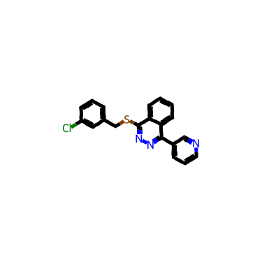 Clc1cccc(CSc2nnc(-c3cccnc3)c3ccccc23)c1